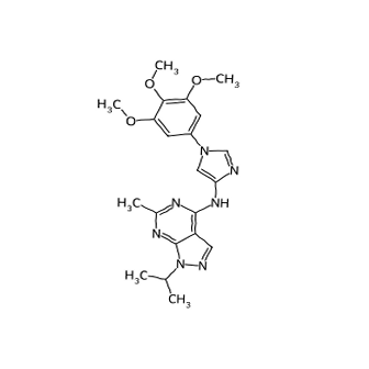 COc1cc(-n2cnc(Nc3nc(C)nc4c3cnn4C(C)C)c2)cc(OC)c1OC